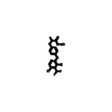 CCCOC(=O)C(C)Oc1ccc(Oc2ncc(Cl)c(C(F)F)c2Cl)cc1